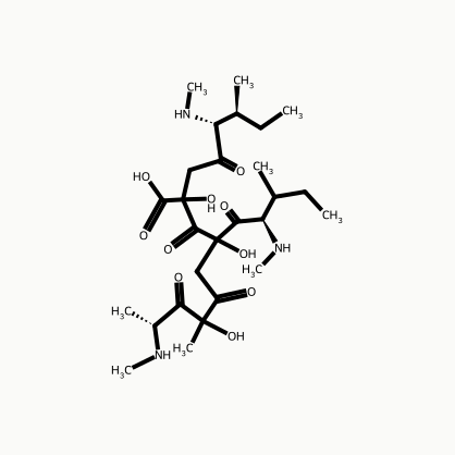 CCC(C)[C@@H](NC)C(=O)C(O)(CC(=O)C(C)(O)C(=O)[C@@H](C)NC)C(=O)C(O)(CC(=O)[C@H](NC)[C@@H](C)CC)C(=O)O